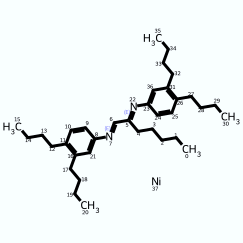 CCCCCC(/C=N/c1ccc(CCCC)c(CCCC)c1)=N\c1ccc(CCCC)c(CCCC)c1.[Ni]